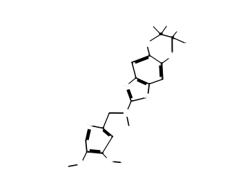 COc1cnc(C[S+]([O-])c2nc3cc4c(cc3[nH]2)OC(F)(F)C(F)(Cl)O4)cc1OC